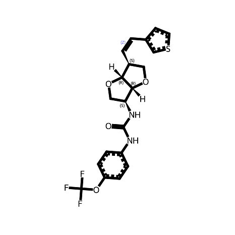 O=C(Nc1ccc(OC(F)(F)F)cc1)N[C@H]1CO[C@H]2[C@@H]1OC[C@@H]2/C=C\c1ccsc1